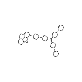 c1ccc(-c2ccc(N(c3ccc(-c4ccccc4)cc3)c3ccc(-c4ccc(-c5ccc6ccc7cccc8oc5c6c78)cc4)cc3)cc2)cc1